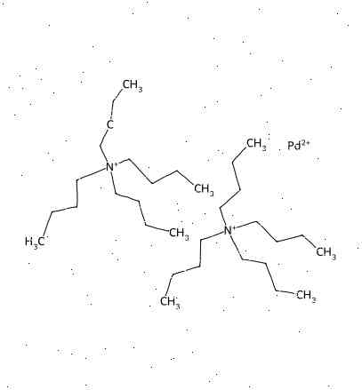 CCCC[N+](CCCC)(CCCC)CCCC.CCCC[N+](CCCC)(CCCC)CCCC.[Pd+2]